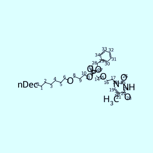 CCCCCCCCCCCCCCCCOCCCOP(=O)(COCCn1cc(C)c(=O)[nH]c1=O)OCc1ccccc1